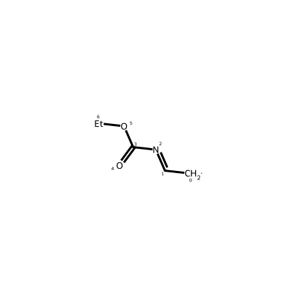 [CH2]C=NC(=O)OCC